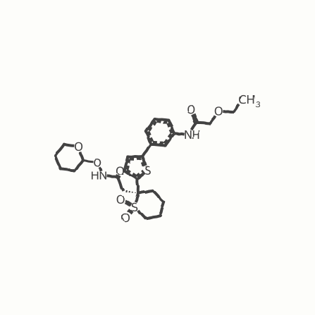 CCOCC(=O)Nc1cccc(-c2ccc([C@@]3(CC(=O)NOC4CCCCO4)CCCCS3(=O)=O)s2)c1